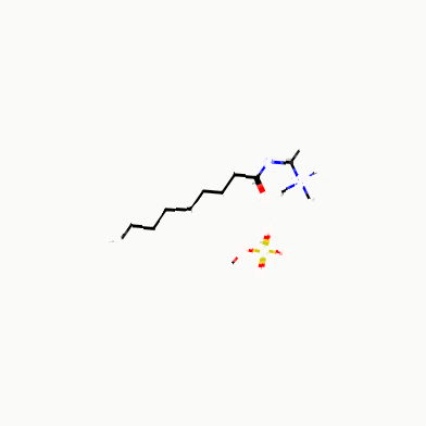 CCCCCCCCCCCCCCCCCC(=O)NC(CC)[N+](C)(C)CC.CCOS(=O)(=O)[O-]